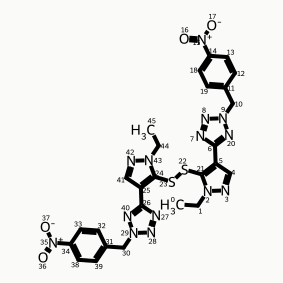 CCn1ncc(-c2nnn(Cc3ccc([N+](=O)[O-])cc3)n2)c1SSc1c(-c2nnn(Cc3ccc([N+](=O)[O-])cc3)n2)cnn1CC